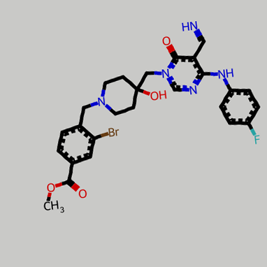 COC(=O)c1ccc(CN2CCC(O)(Cn3cnc(Nc4ccc(F)cc4)c(C=N)c3=O)CC2)c(Br)c1